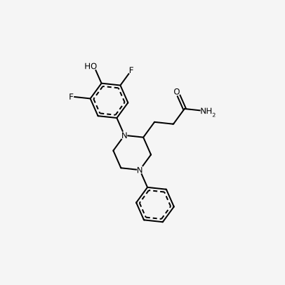 NC(=O)CCC1CN(c2ccccc2)CCN1c1cc(F)c(O)c(F)c1